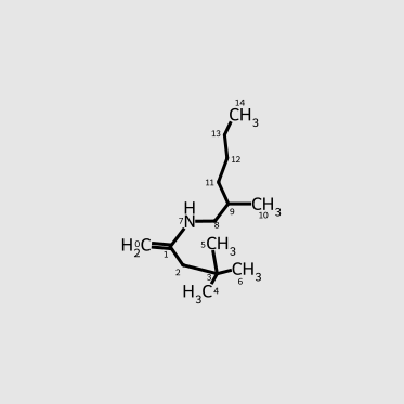 C=C(CC(C)(C)C)NCC(C)CCCC